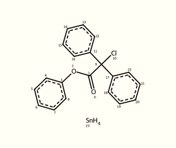 O=C(Oc1ccccc1)C(Cl)(c1ccccc1)c1ccccc1.[SnH4]